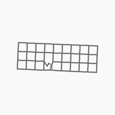 C1CC23C4C5C6C7C8C9CC%10C%11CC%12C%13C%14C%15C%16C%17C%18C%19CC%20C%21CC%22C4C24C%21%22C%20%19C%184C%173C%162C5(N1)C61C%152C%142C%133C%11%12C%109C83C712